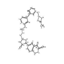 CN1CC(Oc2cnnc(-c3cccc(CNCCC4CN(c5ccc6c(n5)NC(=O)CO6)C(=O)O4)c3)c2)C1